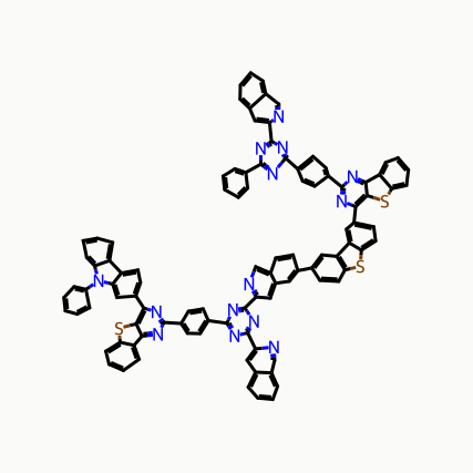 c1ccc(-c2nc(-c3ccc(-c4nc(-c5ccc6sc7ccc(-c8ccc9cnc(-c%10nc(-c%11ccc(-c%12nc(-c%13ccc%14c%15ccccc%15n(-c%15ccccc%15)c%14c%13)c%13sc%14ccccc%14c%13n%12)cc%11)nc(-c%11cc%12ccccc%12cn%11)n%10)cc9c8)cc7c6c5)c5sc6ccccc6c5n4)cc3)nc(-c3cc4ccccc4cn3)n2)cc1